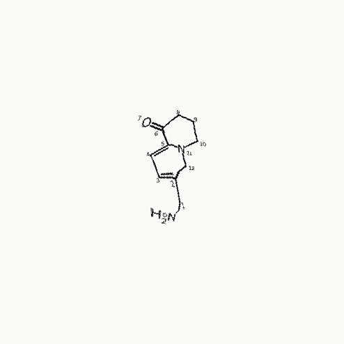 NCC1=CC=C2C(=O)CCCN2C1